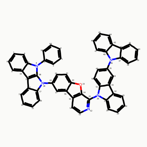 c1ccc(-n2c3ccccc3c3c4ccccc4n(-c4ccc5oc6c(-n7c8ccccc8c8cc(-n9c%10ccccc%10c%10ccccc%109)ccc87)nccc6c5c4)c32)cc1